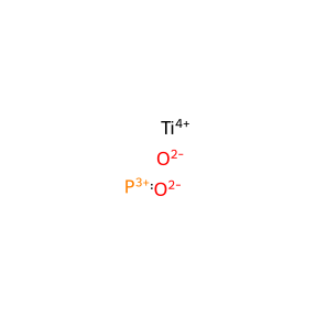 [O-2].[O-2].[P+3].[Ti+4]